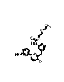 N#Cc1cccc(-n2ccc(=O)c(Cc3cccc(NC(=O)OCCOCC(F)(F)F)c3)n2)c1